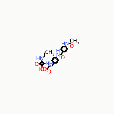 CCCNc1c(N[C@@H](Cc2ccc(NC(=O)c3ccc(NC(C)=O)cc3)cc2)C(=O)O)c(=O)c1=O